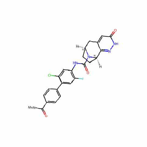 CNC(=O)c1ccc(-c2cc(F)c(NC(=O)N3[C@H]4CC[C@@H]3c3n[nH]c(=O)cc3C4)cc2Cl)cc1